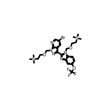 C[Si](C)(C)CCOCn1nc(-c2nc3cc(OC(F)(F)F)ccc3n2COCC[Si](C)(C)C)c2cc(Br)cnc21